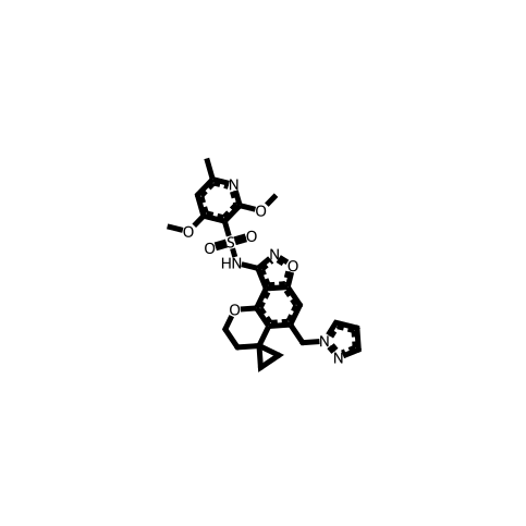 COc1cc(C)nc(OC)c1S(=O)(=O)Nc1noc2cc(Cn3cccn3)c3c(c12)OCCC31CC1